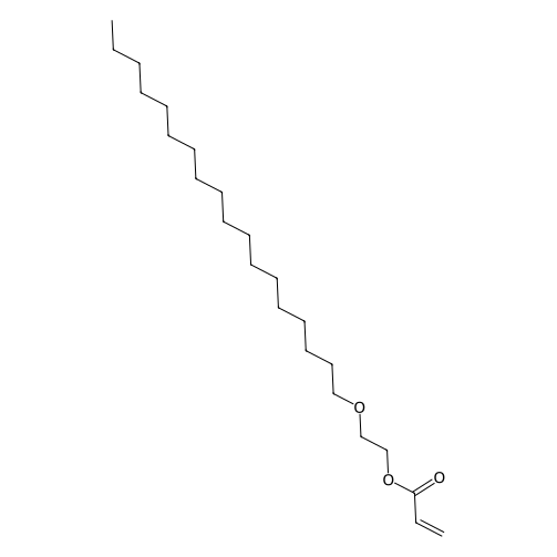 C=CC(=O)OCCOCCCCCCCCCCCCCCCCCC